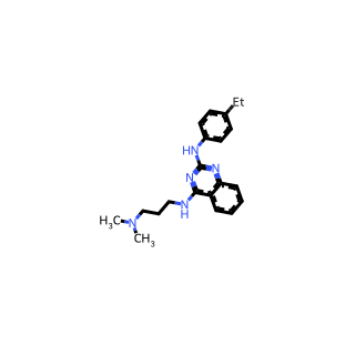 CCc1ccc(Nc2nc(NCCCN(C)C)c3ccccc3n2)cc1